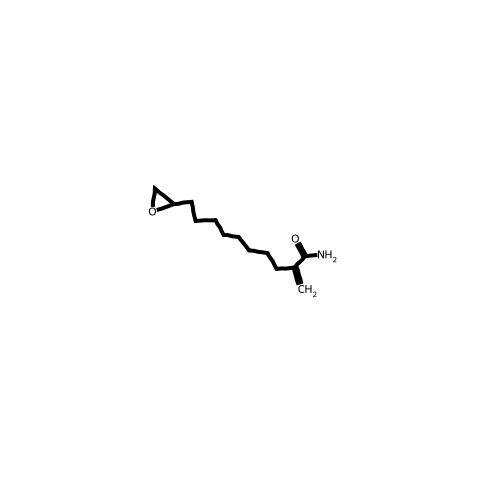 C=C(CCCCCCCCC1CO1)C(N)=O